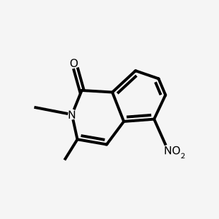 Cc1cc2c([N+](=O)[O-])cccc2c(=O)n1C